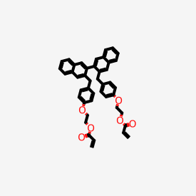 C=CC(=O)OCCOc1ccc(Cc2cc3ccccc3cc2-c2cc3ccccc3cc2Cc2ccc(OCCOC(=O)C=C)cc2)cc1